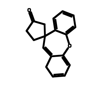 O=C1CCC2(C=C3CC=CC=C3Oc3ccccc32)C1